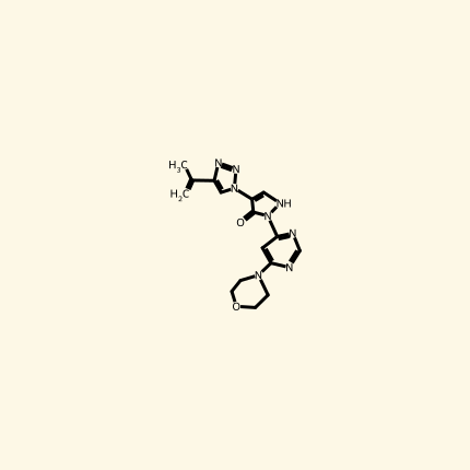 C=C(C)c1cn(-c2c[nH]n(-c3cc(N4CCOCC4)ncn3)c2=O)nn1